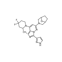 CC1CC(F)(F)CCN1c1cc(N2CC3CCC(C2)O3)nn2c(-c3cc[nH]n3)ncc12